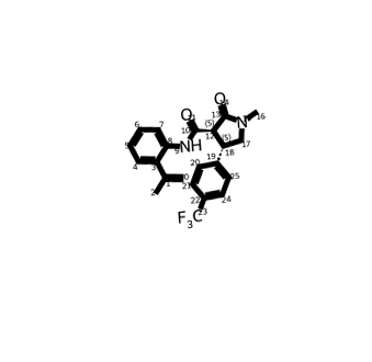 C=C(C)c1ccccc1NC(=O)[C@H]1C(=O)N(C)C[C@@H]1c1ccc(C(F)(F)F)cc1